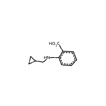 O=C(O)c1ccccc1NCC1CC1